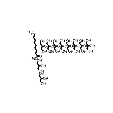 CCCCCCCCCC(=O)O.OCC(O)CO.OCC(O)CO.OCC(O)CO.OCC(O)CO.OCC(O)CO.OCC(O)CO.OCC(O)CO.OCC(O)CO.OCC(O)CO.OCC(O)CO